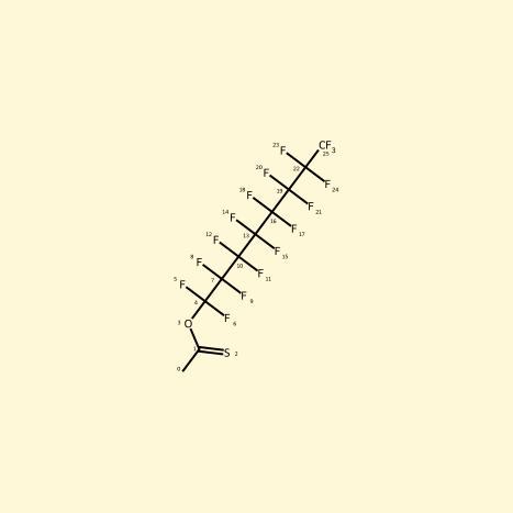 CC(=S)OC(F)(F)C(F)(F)C(F)(F)C(F)(F)C(F)(F)C(F)(F)C(F)(F)C(F)(F)F